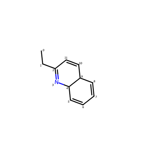 CCC1=NC2C=CC=CC2C=C1